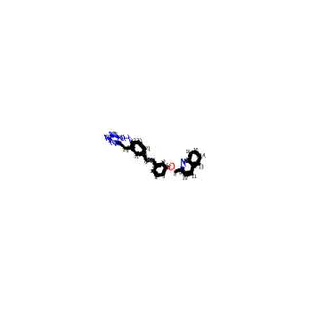 C(=C\c1cccc(OCc2ccc3ccccc3n2)c1)/c1cccc(Cc2nnn[nH]2)c1